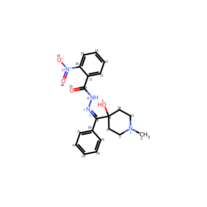 CN1CCC(O)(/C(=N\NC(=O)c2ccccc2[N+](=O)[O-])c2ccccc2)CC1